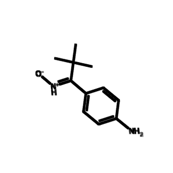 CC(C)(C)C(=[NH+][O-])c1ccc(N)cc1